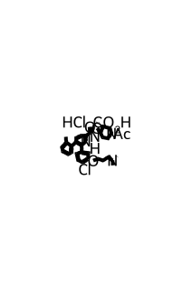 CC(=O)N1CCC(NC(=O)c2ccc(-c3ccccc3C)c(-c3ccc(Cl)c(OCCCN(C)C)c3)n2)(OC(=O)O)CC1.Cl